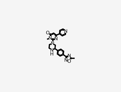 Cc1nc(-c2ccc(C3CN(c4nc(-c5ccncc5)cc(=O)n4C)CCN3)cc2)no1